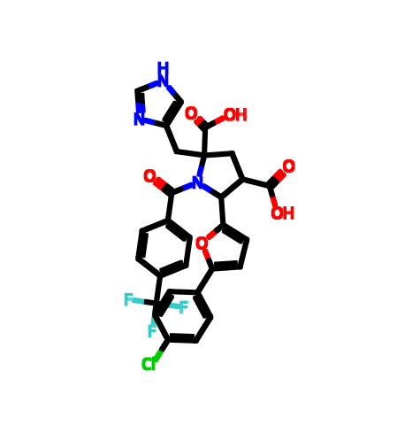 O=C(O)C1CC(Cc2c[nH]cn2)(C(=O)O)N(C(=O)c2ccc(C(F)(F)F)cc2)C1c1ccc(-c2ccc(Cl)cc2)o1